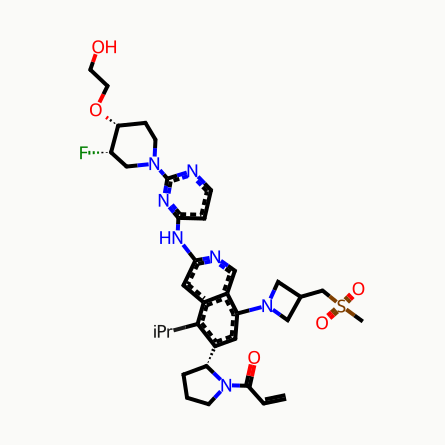 C=CC(=O)N1CCC[C@@H]1c1cc(N2CC(CS(C)(=O)=O)C2)c2cnc(Nc3ccnc(N4CC[C@@H](OCCO)[C@@H](F)C4)n3)cc2c1C(C)C